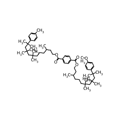 COc1ccc(C(C)(C)CC(C)(C)CC(C)(C)CCCC(C)CCOC(=O)c2ccc(C(=O)OCCC(C)CCCC(C)(C)CC(C)(C)CC(C)(C)c3ccc(C)cc3)cc2)cc1